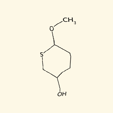 COC1CCC(O)CS1